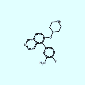 Nc1cc(-c2c(OC3CCNCC3)ccc3cnccc23)ccc1F